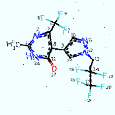 Cc1nc(C(F)(F)F)c(-c2cnn(CC(F)(F)C(F)(F)F)c2)c(=O)[nH]1